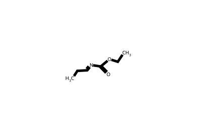 CCC=NC(=O)OCC